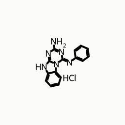 Cl.Nc1nc(=Nc2ccccc2)n2c(n1)[nH]c1ccccc12